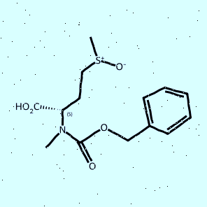 CN(C(=O)OCc1ccccc1)[C@@H](CC[S+](C)[O-])C(=O)O